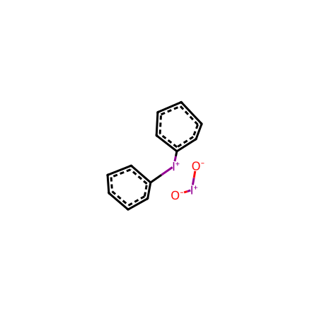 [O-][I+][O-].c1ccc([I+]c2ccccc2)cc1